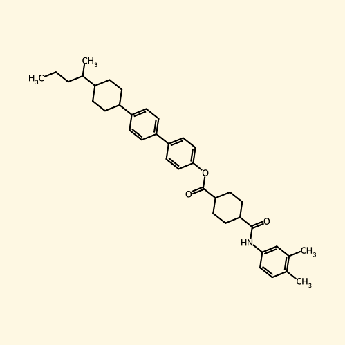 CCCC(C)C1CCC(c2ccc(-c3ccc(OC(=O)C4CCC(C(=O)Nc5ccc(C)c(C)c5)CC4)cc3)cc2)CC1